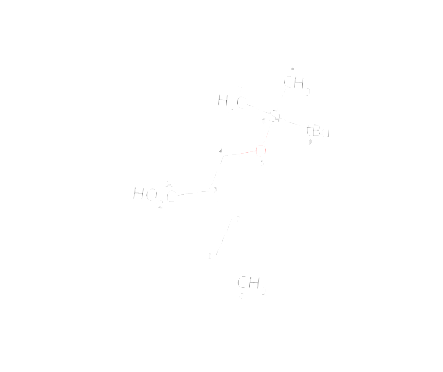 C=CCC(CO[Si](C)(C)C(C)(C)C)C(=O)O